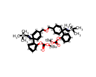 CC(C)(C)OC(=O)Oc1ccccc1C1(/C=C/[Si](C)(C)C)C=CC(COCC2C=CC(/C=C/[Si](C)(C)C)(c3ccccc3OC(=O)OC(C)(C)C)C=C2)C=C1